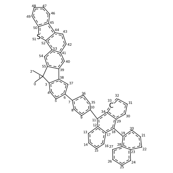 CC1(C)c2ccc(-c3ccc(-c4c5ccccc5c(-c5cccc6ccccc56)c5ccccc45)cc3)cc2-c2cc3ccc4c5ccccc5sc4c3cc21